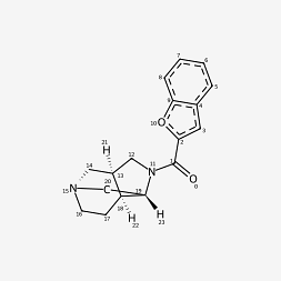 O=C(c1cc2ccccc2o1)N1C[C@@H]2C[N@@]3CC[C@@H]2[C@@H]1C3